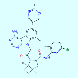 Cc1ncc(-c2cc(C)c3c(c2)c2c(N)ncnc2n3CC(=O)N2[C@H](C(=O)Nc3nc(Br)ccc3C)C[C@@]3(C)CC[C@@H]23)cn1